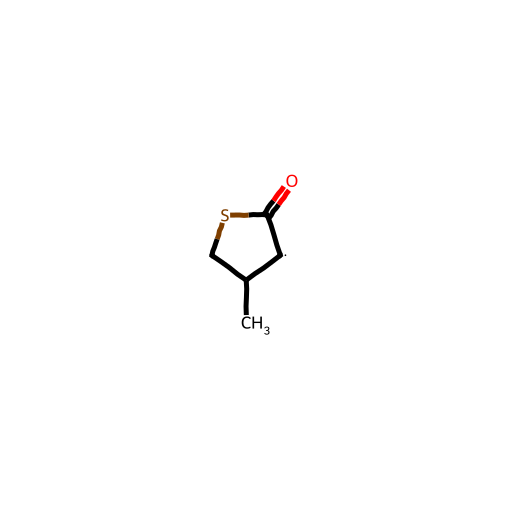 CC1[CH]C(=O)SC1